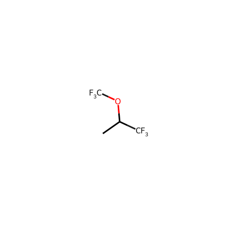 CC(OC(F)(F)F)C(F)(F)F